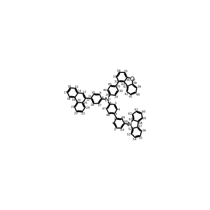 c1cc(-c2ccc(N(c3ccc(-c4cc5ccccc5c5ccccc45)cc3)c3ccc(-c4cccc5oc6ccccc6c45)cc3)cc2)cc(-n2c3ccccc3c3ccccc32)c1